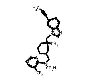 CC#Cc1ccc2ncn(CC3(C)CCCC(CN(C(=O)O)c4ncccc4C(F)(F)F)C3)c2c1